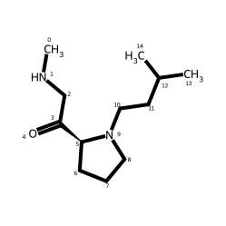 CNCC(=O)[C@@H]1CCCN1CCC(C)C